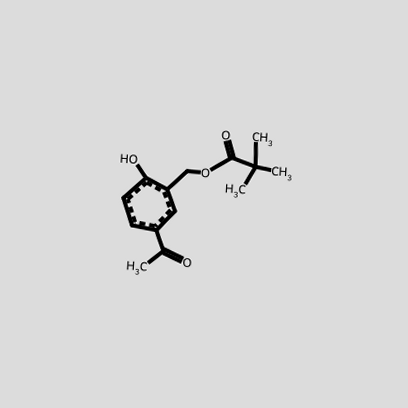 CC(=O)c1ccc(O)c(COC(=O)C(C)(C)C)c1